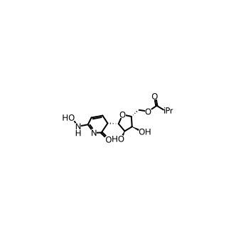 CC(C)C(=O)OC[C@H]1O[C@@H](C2C=CC(NO)=NC2=O)[C@H](O)[C@@H]1O